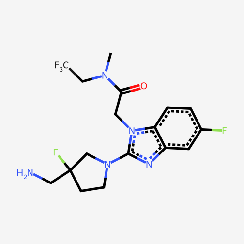 CN(CC(F)(F)F)C(=O)Cn1c(N2CCC(F)(CN)C2)nc2cc(F)ccc21